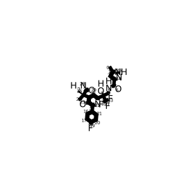 Cc1cc(C(=O)NC[C@](O)(c2cc3c(c(-c4ccc(F)cc4)n2)OC[C@]3(C)C(N)=O)C(F)(F)F)n[nH]1